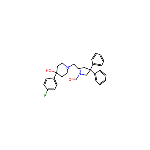 O=CNCC(CCCN1CCC(O)(c2ccc(F)cc2)CC1)(c1ccccc1)c1ccccc1